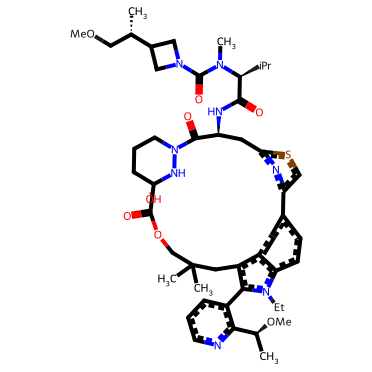 CCn1c(-c2cccnc2[C@H](C)OC)c2c3cc(ccc31)-c1csc(n1)C[C@H](NC(=O)[C@H](C(C)C)N(C)C(=O)N1CC([C@@H](C)COC)C1)C(=O)N1CCC[C@@](O)(N1)C(=O)OCC(C)(C)C2